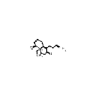 C=CCCC1=C2CCCC(=O)[C@@]2(CC)CCC1=O